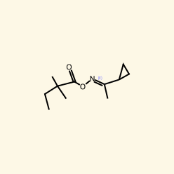 CCC(C)(C)C(=O)O/N=C(\C)C1CC1